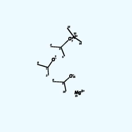 CC(C)[O-].CC(C)[O-].CC(C)[O-].[CH3][Al+][CH3].[Mg+2]